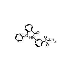 NS(=O)(=O)c1cccc(NC(=O)c2ccccc2Oc2ccccc2)c1